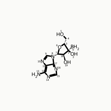 B[C@@]1(O)[C@@H](CO)O[C@@H](n2cnc3c(N)ncnc32)[C@@H]1O